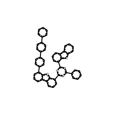 c1ccc(-c2ccc(-c3ccc(-c4cccc5c4oc4c(-c6nc(-c7ccccc7)nc(-c7cccc8c7sc7ccccc78)n6)cccc45)cc3)cc2)cc1